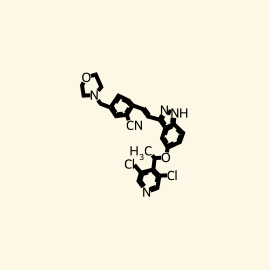 CC(Oc1ccc2[nH]nc(/C=C/c3ccc(CN4CCOCC4)cc3C#N)c2c1)c1c(Cl)cncc1Cl